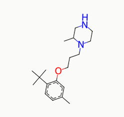 Cc1ccc(C(C)(C)C)c(OCCCN2CCNCC2C)c1